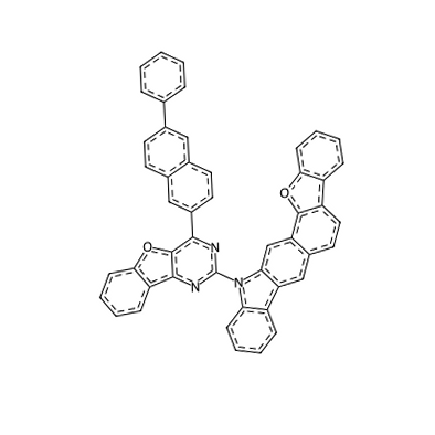 c1ccc(-c2ccc3cc(-c4nc(-n5c6ccccc6c6cc7ccc8c9ccccc9oc8c7cc65)nc5c4oc4ccccc45)ccc3c2)cc1